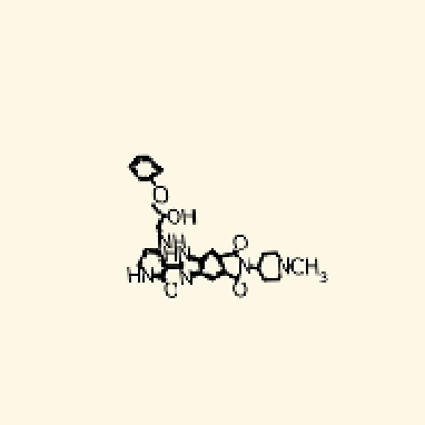 CN1CCC(N2C(=O)c3cc4nc(-c5c(NCC(O)COc6ccccc6)cc[nH]c5=O)[nH]c4cc3C2=O)CC1